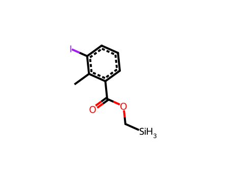 Cc1c(I)cccc1C(=O)OC[SiH3]